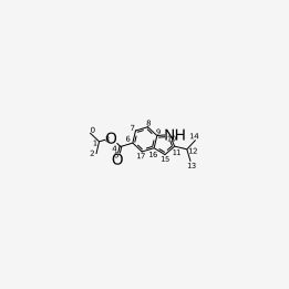 CC(C)OC(=O)c1ccc2[nH]c(C(C)C)cc2c1